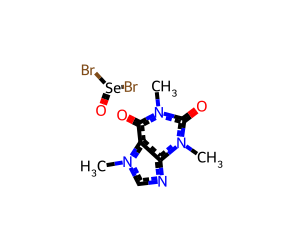 Cn1c(=O)c2c(ncn2C)n(C)c1=O.O=[Se](Br)Br